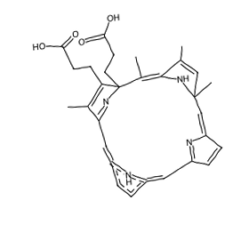 CC1=CC2(C)C=C3C=CC(=N3)C=c3ccc([nH]3)=CC3=NC(CCC(=O)O)(C(C)=C1N2)C(CCC(=O)O)=C3C